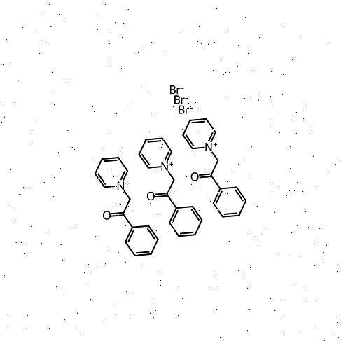 O=C(C[n+]1ccccc1)c1ccccc1.O=C(C[n+]1ccccc1)c1ccccc1.O=C(C[n+]1ccccc1)c1ccccc1.[Br-].[Br-].[Br-]